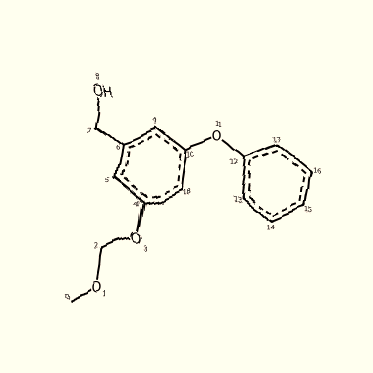 COCOc1cc(CO)cc(Oc2ccccc2)c1